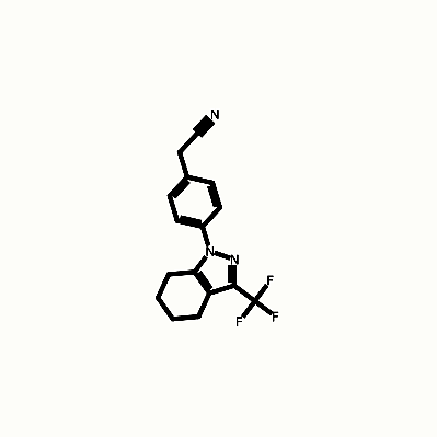 N#CCc1ccc(-n2nc(C(F)(F)F)c3c2CCCC3)cc1